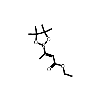 CCOC(=O)C=C(C)B1OC(C)(C)C(C)(C)O1